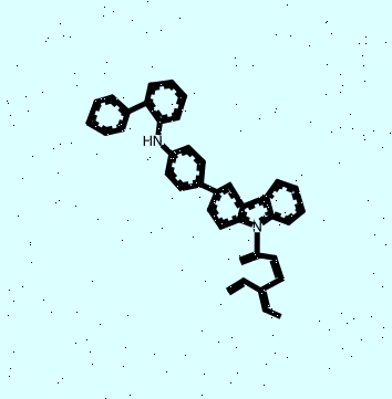 C=CC(/C=C\C(=C)n1c2ccccc2c2cc(-c3ccc(Nc4ccccc4-c4ccccc4)cc3)ccc21)=C/C